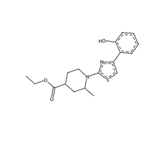 CCOC(=O)C1CCN(c2nc(-c3ccccc3O)cs2)C(C)C1